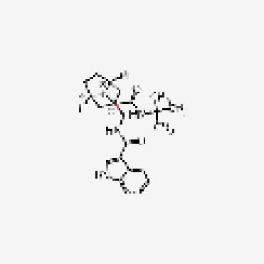 CC(C)(C)NC(=O)CN1[C@@H]2CC[C@H]1C[C@H](CNC(=O)c1c[nH]c3ccccc13)C2